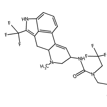 CN1CC(NC(=O)N(CC(F)(F)F)CC(F)(F)F)C=C2c3cccc4[nH]c(C(F)(F)F)c(c34)CC21